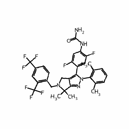 Cc1cccc(C)c1-n1nc2c(c1-c1cc(F)c(NC(N)=O)cc1F)CN(Cc1ccc(C(F)(F)F)cc1C(F)(F)F)C2(C)C